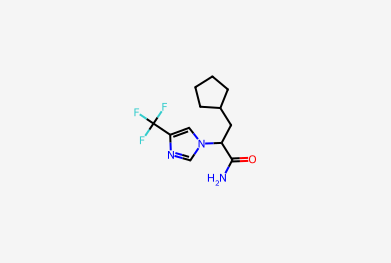 NC(=O)C(CC1CCCC1)n1cnc(C(F)(F)F)c1